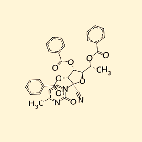 Cc1ccn([C@]2(C#N)O[C@H]([C@@H](C)OC(=O)c3ccccc3)[C@@H](OC(=O)c3ccccc3)[C@H]2OC(=O)c2ccccc2)c(=O)n1